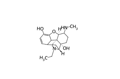 CCN1CC[C@@]23C4C5=C(O)C=CC4C[C@@H]1[C@]2(O)CCC(NC)[C@@H]3O5